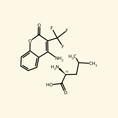 CC(C)C[C@H](N)C(=O)O.Nc1c(C(F)(F)F)c(=O)oc2ccccc12